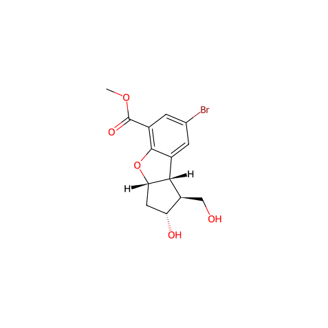 COC(=O)c1cc(Br)cc2c1O[C@H]1C[C@@H](O)[C@H](CO)[C@@H]21